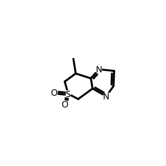 CC1CS(=O)(=O)Cc2nccnc21